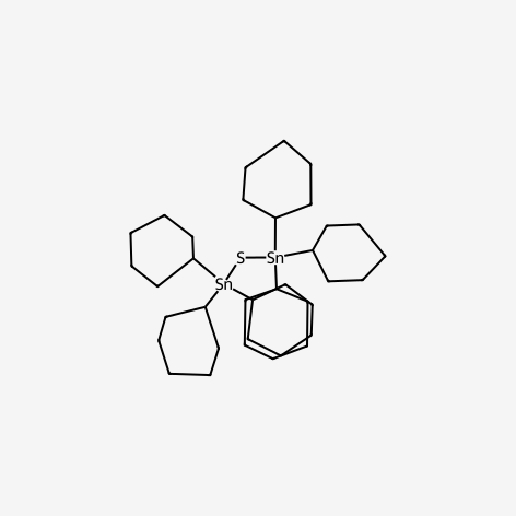 C1CC[CH]([Sn]([S][Sn]([CH]2CCCCC2)([CH]2CCCCC2)[CH]2CCCCC2)([CH]2CCCCC2)[CH]2CCCCC2)CC1